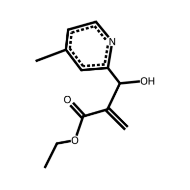 C=C(C(=O)OCC)C(O)c1cc(C)ccn1